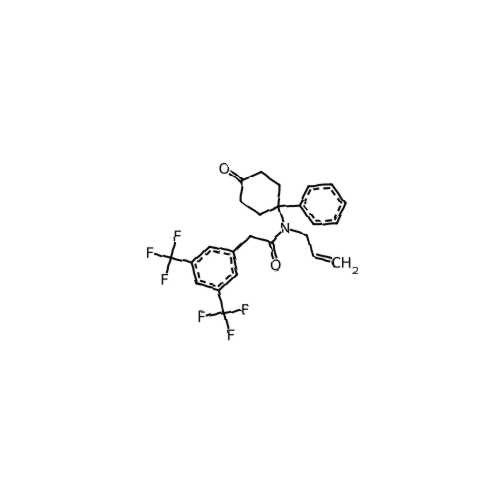 C=CCN(C(=O)Cc1cc(C(F)(F)F)cc(C(F)(F)F)c1)C1(c2ccccc2)CCC(=O)CC1